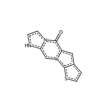 O=c1c2cc3ccsc3n2cc2[nH]ccn12